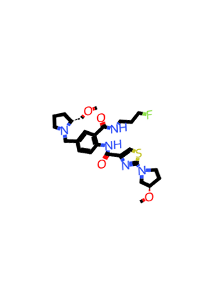 COC[C@H]1CCCN1Cc1ccc(NC(=O)c2csc(N3CC[C@H](OC)C3)n2)c(C(=O)NCCCF)c1